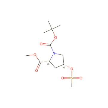 COC(=O)[C@H]1C[C@@H](OS(C)(=O)=O)CN1C(=O)OC(C)(C)C